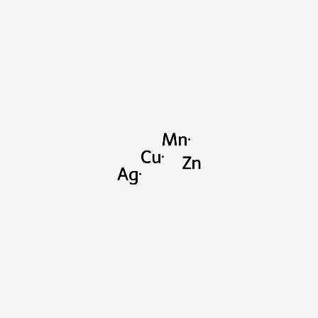 [Ag].[Cu].[Mn].[Zn]